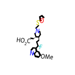 COc1ccc2nccc([C@H](F)CC[C@@H]3CCN(CCSc4ccco4)C[C@H]3CCC(=O)O)c2c1